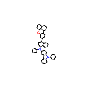 c1ccc(N(c2ccc3c(c2)c2ccccc2n3-c2ccccc2)c2ccc(-c3ccc4c(c3)Oc3cccc5cccc-4c35)c3ccccc23)cc1